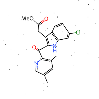 COC(=O)Cc1c(C(=O)c2ncc(C)cc2C)[nH]c2cc(Cl)ccc12